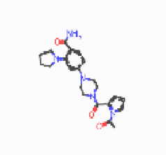 CC(=O)n1cccc1C(=O)N1CCN(c2ccc(C(N)=O)c(N3CCCC3)c2)CC1